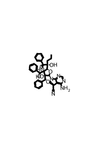 CCC[C@](O)(C(=O)c1ccccc1)[C@H]1O[C@@H](n2cc(C#N)c3c(N)ncnc32)[C@@](O)(C(=O)c2ccccc2)[C@@]1(O)C(=O)c1ccccc1